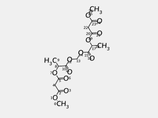 COC(=O)CC(=O)OC(C)C(=O)OCOC(=O)C(C)OC(=O)CC(=O)OC